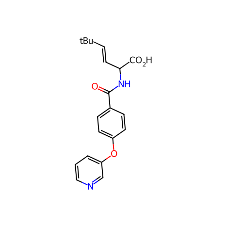 CC(C)(C)/C=C/C(NC(=O)c1ccc(Oc2cccnc2)cc1)C(=O)O